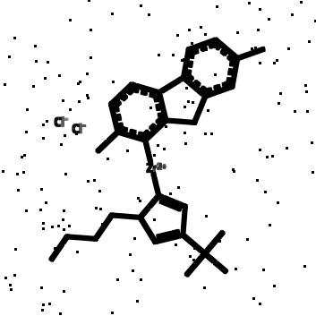 CCCCC1C=C(C(C)(C)C)C=[C]1[Zr+2][c]1c(C)ccc2c1Cc1cc(C)ccc1-2.[Cl-].[Cl-]